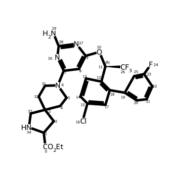 CCOC(=O)C1CC2(CCN(c3cc(O[C@H](c4ccc(Cl)cc4-c4cccc(F)c4)C(F)(F)F)nc(N)n3)CC2)CN1